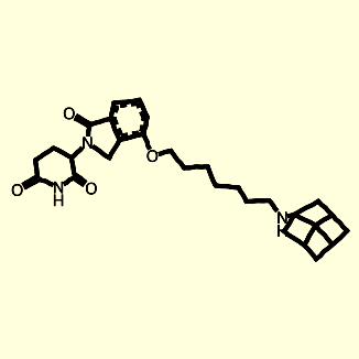 O=C1CCC(N2Cc3c(OCCCCCCCNC45CC6CC7CC(C4)C765)cccc3C2=O)C(=O)N1